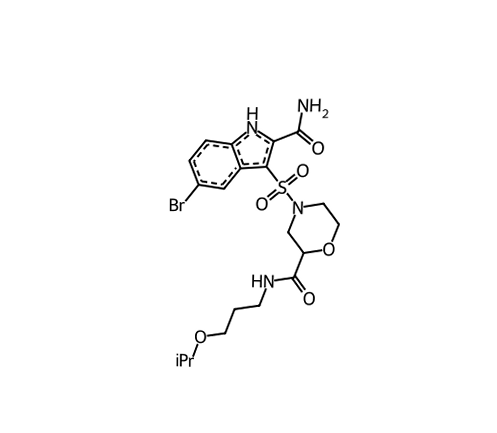 CC(C)OCCCNC(=O)C1CN(S(=O)(=O)c2c(C(N)=O)[nH]c3ccc(Br)cc23)CCO1